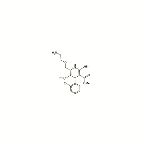 Br.CCOC(=O)C1=C(COCCN)NC(C)=C(C(=O)OC)C1c1ccccc1Cl